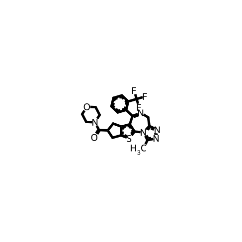 Cc1nnc2n1-c1sc3c(c1C(c1ccccc1C(F)(F)F)=NC2)CC(C(=O)N1CCOCC1)C3